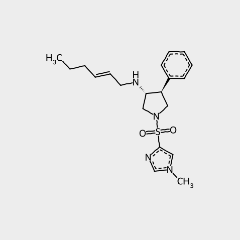 CCC/C=C/CN[C@H]1CN(S(=O)(=O)c2cn(C)cn2)C[C@@H]1c1ccccc1